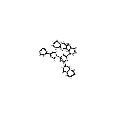 c1ccc(-c2ccc(-c3nc(-c4ccc5ccccc5c4)nc(-c4cccc5oc6cc7ccccc7nc6c45)n3)cc2)cc1